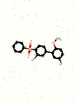 COc1ccc(F)cc1-c1ccc(S(=O)(=O)c2ccccc2)c(F)c1